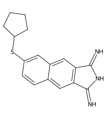 N=C1NC(=N)c2cc3cc(SC4CCCC4)ccc3cc21